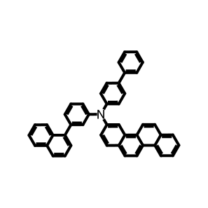 c1ccc(-c2ccc(N(c3cccc(-c4cccc5ccccc45)c3)c3ccc4ccc5c6ccccc6ccc5c4c3)cc2)cc1